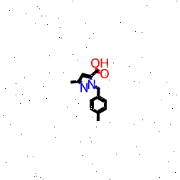 Cc1ccc(Cn2nc(C)cc2C(=O)O)cc1